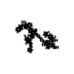 Cc1ncsc1-c1ccc([C@H](C)NC(=O)[C@@H]2C[C@@H](O)CN2C(=O)[C@@H](NC(=O)CCOCCOCCNC(=O)c2nc(N3CCCc4c3nnc(Nc3nc5ccccc5s3)c4C)ccc2-c2cnn(C[C@]34C[C@]5(C)C[C@](C)(C3)C[C@@](OCCN3CCCC3)(C5)C4)c2C)C(C)(C)C)cc1